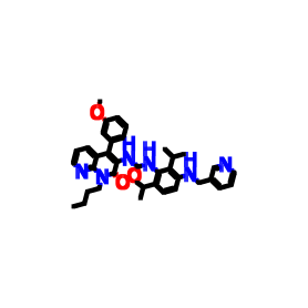 CCCCn1c(=O)c(NC(=O)Nc2c(C(C)C)ccc(NCc3cccnc3)c2C(C)C)c(-c2cccc(OC)c2)c2cccnc21